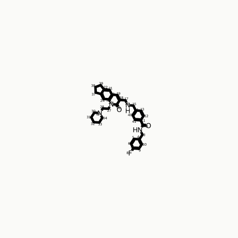 O=C(NCc1ccc(F)cc1)c1ccc(CNCc2cc3cc4c(cc3n(CCN3CCCCC3)c2=O)CCC4)cc1